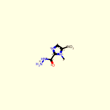 Cn1c([N+](=O)[O-])cnc1C(=O)NN